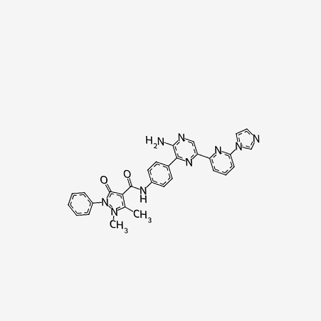 Cc1c(C(=O)Nc2ccc(-c3nc(-c4cccc(-n5ccnc5)n4)cnc3N)cc2)c(=O)n(-c2ccccc2)n1C